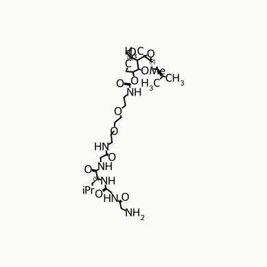 COC1C(OC(=O)NCCOCCOCCNC(=O)CNC(=O)[C@H](CC(C)C)NC(=O)CNC(=O)CN)CC[C@]2(CO2)C1C1(C)O[C@@H]1CC=C(C)C